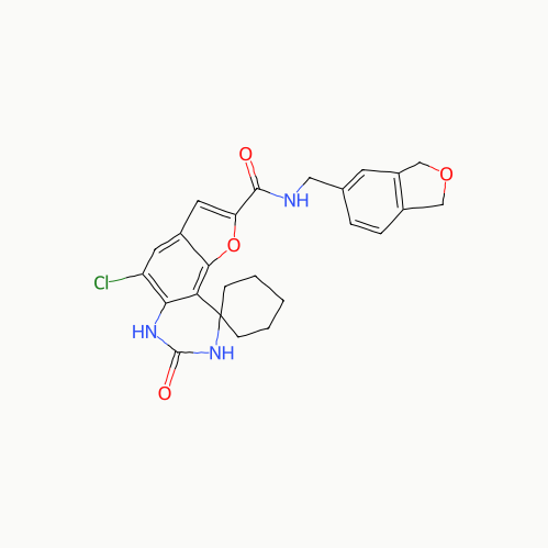 O=C1Nc2c(Cl)cc3cc(C(=O)NCc4ccc5c(c4)COC5)oc3c2C2(CCCCC2)N1